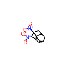 O=[N+]([O-])C1C2CC3CC(C2)CC1([N+](=O)[O-])C3